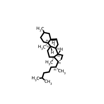 CC(C)CCC[C@@H](C)[C@H]1CC[C@H]2[C@@H]3CC=C4CC(C)CC[C@]4(C)[C@H]3CC[C@]12C